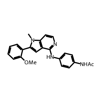 COc1ccccc1-c1cc2c(Nc3ccc(NC(C)=O)cc3)nccc2n1C